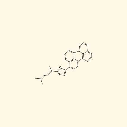 CC(C)=C/C=C(\C)c1ccc(-c2ccc3c4cccc5cccc(c6cccc2c63)c54)s1